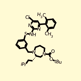 Cc1cccc(C)c1-c1cc(Cl)nc(NSc2cccc(CN3CCCN(C(=O)OC(C)(C)C)C[C@@H]3CCC(C)C)c2)n1